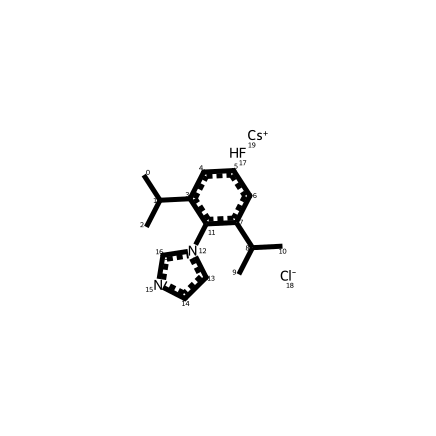 CC(C)c1cccc(C(C)C)c1-n1ccnc1.F.[Cl-].[Cs+]